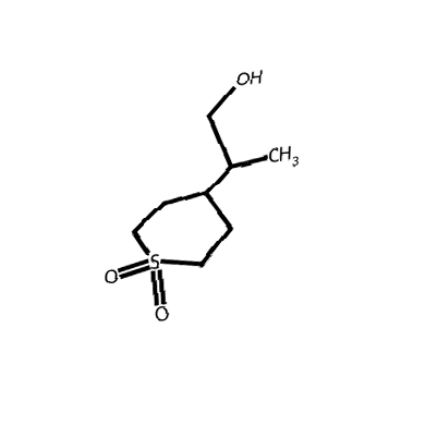 CC(CO)C1CCS(=O)(=O)CC1